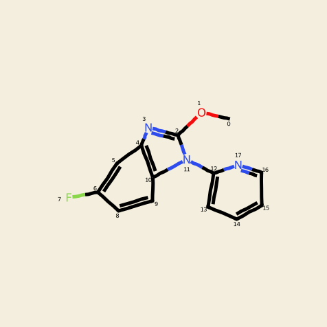 COc1nc2cc(F)ccc2n1-c1ccccn1